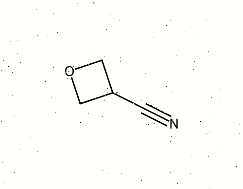 N#C[C]1COC1